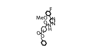 COc1ccc(F)cc1-c1cc(NC(=O)C2CCN(C(=O)OCc3ccccc3)CC2)ncn1